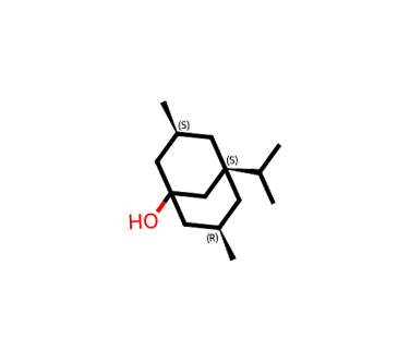 CC(C)[C@@]12C[C@H](C)CC(O)(C[C@H](C)C1)C2